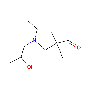 CCN(CC(C)O)CC(C)(C)C=O